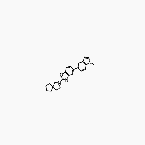 Cn1ccc2cc(-c3ccc4oc(N5CCC6(CCCC6)C5)nc4c3)ccc21